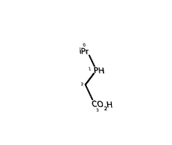 CC(C)PCC(=O)O